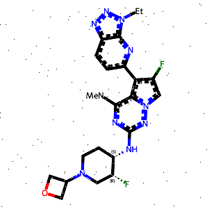 CCn1nnc2ccc(-c3c(F)cn4nc(N[C@H]5CCN(C6COC6)C[C@H]5F)nc(NC)c34)nc21